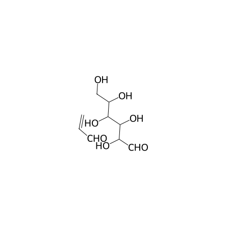 C=CC=O.O=CC(O)C(O)C(O)C(O)CO